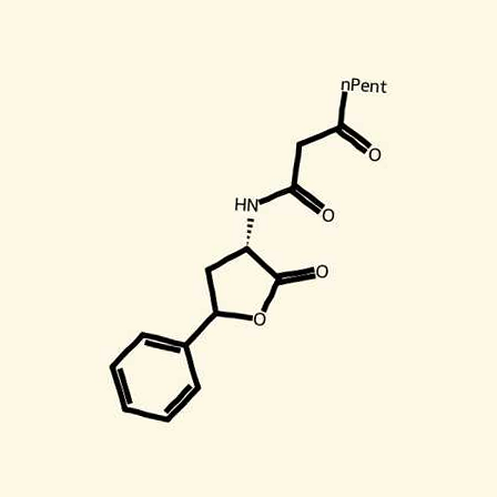 CCCCCC(=O)CC(=O)N[C@H]1CC(c2ccccc2)OC1=O